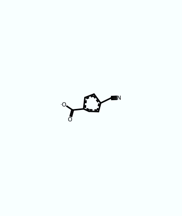 N#Cc1ccc(C([O])=O)cc1